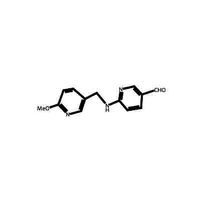 COc1ccc(CNc2ccc(C=O)cn2)cn1